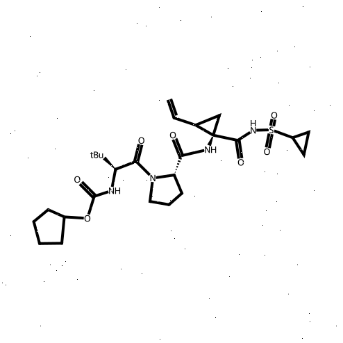 C=CC1C[C@]1(NC(=O)[C@@H]1CCCN1C(=O)[C@@H](NC(=O)OC1CCCC1)C(C)(C)C)C(=O)NS(=O)(=O)C1CC1